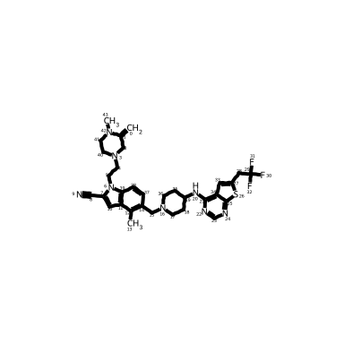 C=C1CN(CCn2c(C#N)cc3c(C)c(CN4CCC(Nc5ncnc6sc(CC(F)(F)F)cc56)CC4)ccc32)CCN1C